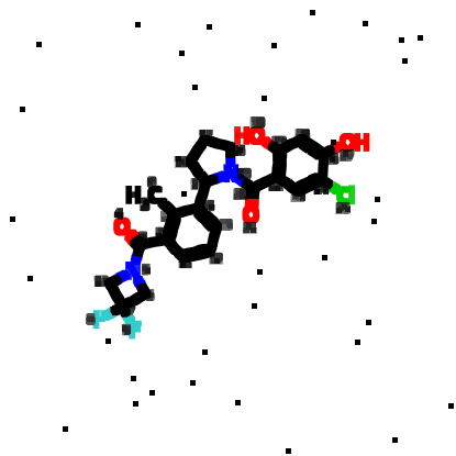 Cc1c(C(=O)N2CC(F)(F)C2)cccc1C1CCCN1C(=O)c1cc(Cl)c(O)cc1O